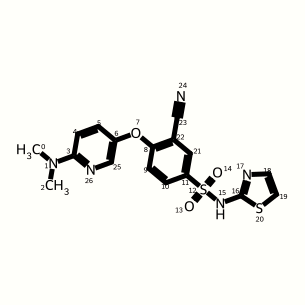 CN(C)c1ccc(Oc2ccc(S(=O)(=O)Nc3nccs3)cc2C#N)cn1